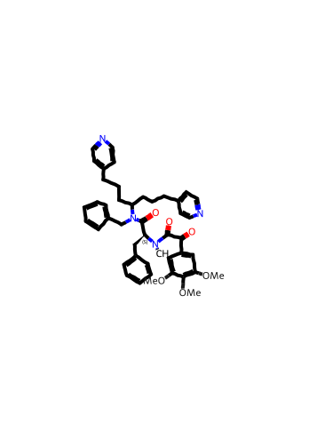 COc1cc(C(=O)C(=O)N(C)[C@@H](Cc2ccccc2)C(=O)N(Cc2ccccc2)C(CCCc2ccncc2)CCCc2ccncc2)cc(OC)c1OC